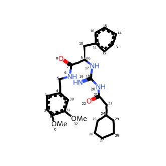 COc1ccc(CNC(=O)[C@@H](Cc2ccccc2)NC(=N)NC(=O)CC2CCCCC2)cc1OC